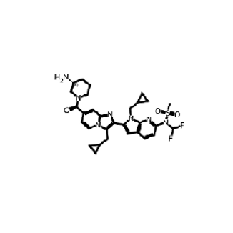 CS(=O)(=O)N(c1ccc2cc(-c3nc4cc(C(=O)N5CCC[C@@H](N)C5)ccn4c3CC3CC3)n(CC3CC3)c2n1)C(F)F